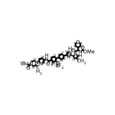 COC(=O)NC(C(=O)N1C[C@@H](C)C[C@H]1c1nc(-c2ccc(-c3ccc(C(=O)Nc4ccc(N5CCN(C(=O)C(C)(C)C)C[C@H]5C)nc4)c(F)c3OC(F)(F)F)cc2)c[nH]1)C1CCOCC1